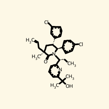 C=CC[C@@]1(C)C[C@H](c2cccc(Cl)c2)[C@@H](c2ccc(Cl)cc2)N([C@H](CC)c2cccc(C(C)(C)O)n2)C1=O